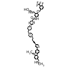 CCn1c2ccc(CNC)cc2c2ccc(-c3cc(C#CCCN4CCN(CC5CCN(c6cnc(C(=O)Nc7ccc(OCc8ccc(F)c(C(F)(F)F)c8)c(CNCCO)c7)cn6)CC5)CC4)cs3)cc21